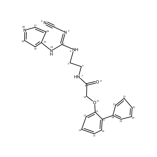 N#C/N=C(/NCCNC(=O)COc1ccccc1-c1ccccc1)Nc1ccncc1